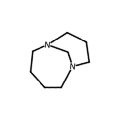 C1CCN2CCCN(C1)C2